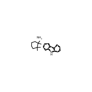 CC1(C)CCCCC1(C)C.N.c1ccc2c(c1)[nH]c1ccccc12